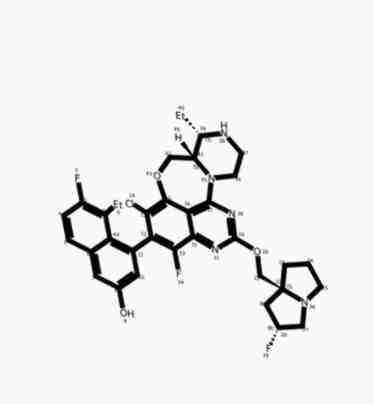 CCc1c(F)ccc2cc(O)cc(-c3c(Cl)c4c5c(nc(OC[C@@]67CCCN6C[C@H](F)C7)nc5c3F)N3CCN[C@@H](CC)[C@H]3CO4)c12